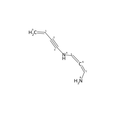 C=CC#CNC=C=CN